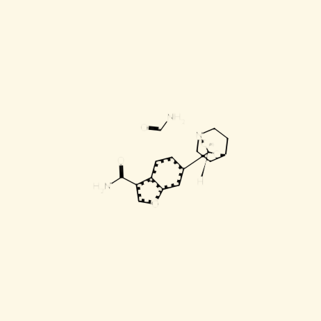 NC(=O)c1coc2cc([C@H]3CC4CCN(CC4)C3)ccc12.NC=O